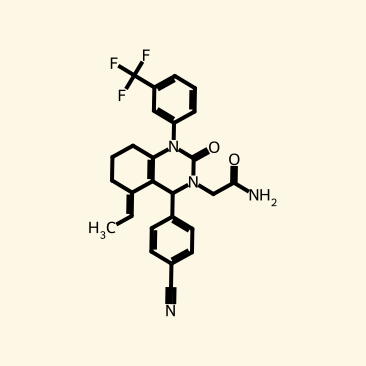 CC=C1CCCC2=C1C(c1ccc(C#N)cc1)N(CC(N)=O)C(=O)N2c1cccc(C(F)(F)F)c1